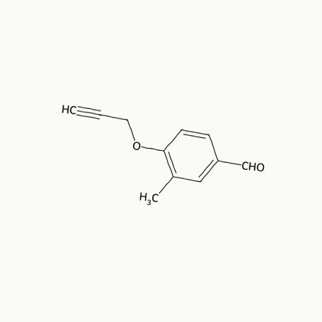 C#CCOc1ccc(C=O)cc1C